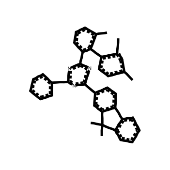 Cc1ccc(-c2c(C)cccc2-c2nc(-c3ccccc3)nc(-c3ccc4c(c3)C(C)(C)c3ccccc3-4)n2)c(C)c1